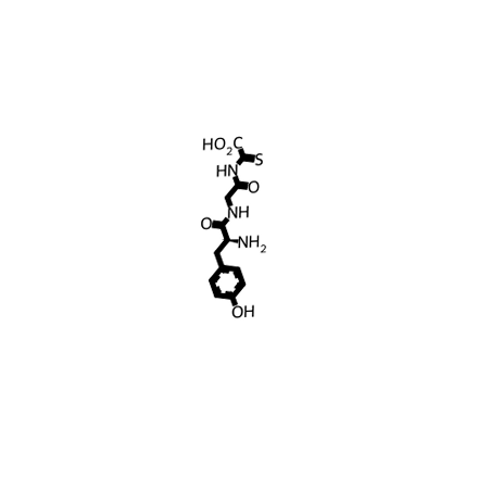 N[C@@H](Cc1ccc(O)cc1)C(=O)NCC(=O)NC(=S)C(=O)O